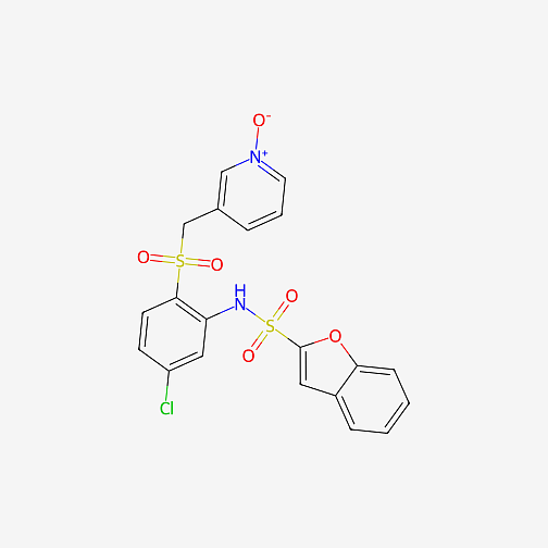 O=S(=O)(Cc1ccc[n+]([O-])c1)c1ccc(Cl)cc1NS(=O)(=O)c1cc2ccccc2o1